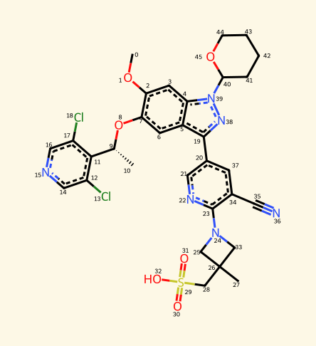 COc1cc2c(cc1O[C@H](C)c1c(Cl)cncc1Cl)c(-c1cnc(N3CC(C)(CS(=O)(=O)O)C3)c(C#N)c1)nn2C1CCCCO1